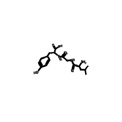 CC(C)CC(N)C(=O)NCC(=O)NC(Cc1ccc(O)cc1)C(=O)O